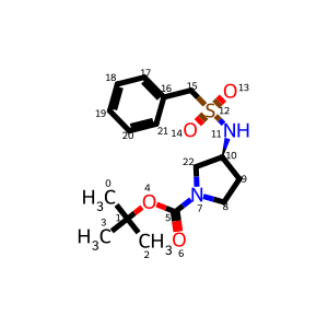 CC(C)(C)OC(=O)N1CC[C@H](NS(=O)(=O)Cc2ccccc2)C1